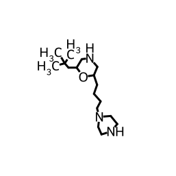 CC(C)(C)CC1CNCC(CCCCN2CCNCC2)O1